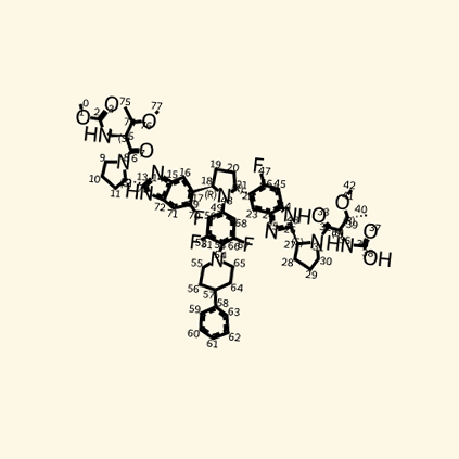 COC(=O)N[C@H](C(=O)N1CCC[C@H]1c1nc2cc([C@H]3CC[C@H](c4cc5nc([C@@H]6CCCN6C(=O)[C@@H](NC(=O)O)[C@@H](C)OC)[nH]c5cc4F)N3c3cc(F)c(N4CCC(c5ccccc5)CC4)c(F)c3)c(F)cc2[nH]1)C(C)OC